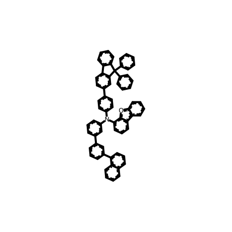 c1ccc(C2(c3ccccc3)c3ccccc3-c3ccc(-c4ccc(N(c5cccc(-c6cccc(-c7cccc8ccccc78)c6)c5)c5cccc6c5oc5ccccc56)cc4)cc32)cc1